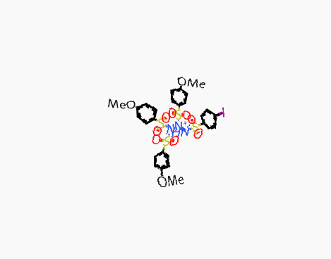 COc1ccc(S(=O)(=O)N([N+](NS(=O)(=O)c2ccc(I)cc2)S(=O)(=O)c2ccc(OC)cc2)S(=O)(=O)c2ccc(OC)cc2)cc1